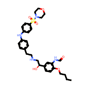 CCCCOc1ccc([C@@H](O)CNCCc2ccc(Nc3ccc(S(=O)(=O)N4CCOCC4)cc3)cc2)cc1NC=O